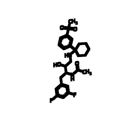 CC(=O)NC(Cc1cc(F)cc(F)c1)C(O)CNC1(c2cccc(S(C)(=O)=O)c2)CCCCC1